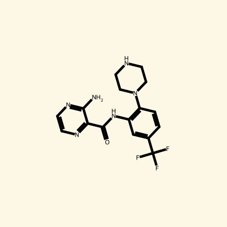 Nc1nccnc1C(=O)Nc1cc(C(F)(F)F)ccc1N1CCNCC1